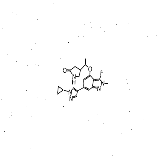 CC(Oc1cc(-c2cnn(C3CC3)c2)cc2nn(C)c(F)c12)C1CNC(=O)C1